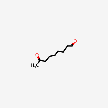 CC(=O)CCCCCCC=O